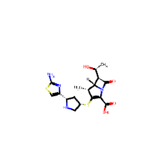 C[C@@H](O)[C@H]1C(=O)N2C(C(=O)O)=C(S[C@@H]3CN[C@H](c4csc(N)n4)C3)[C@H](C)[C@H]12